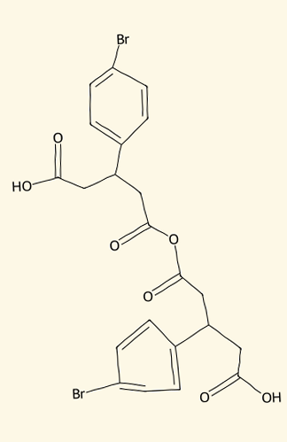 O=C(O)CC(CC(=O)OC(=O)CC(CC(=O)O)c1ccc(Br)cc1)c1ccc(Br)cc1